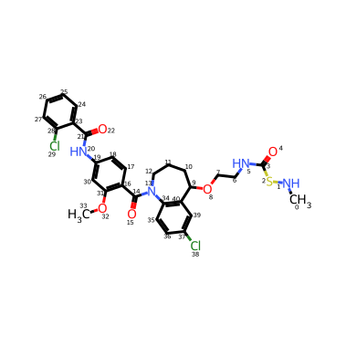 CNSC(=O)NCCOC1CCCN(C(=O)c2ccc(NC(=O)c3ccccc3Cl)cc2OC)c2ccc(Cl)cc21